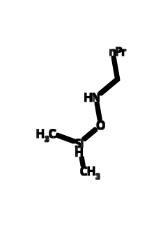 CCCCNO[SiH](C)C